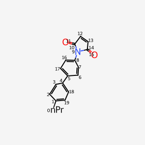 CCCc1ccc(-c2ccc(N3C(=O)C=CC3=O)cc2)cc1